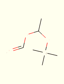 CC(O[C]=O)O[Si](C)(C)C